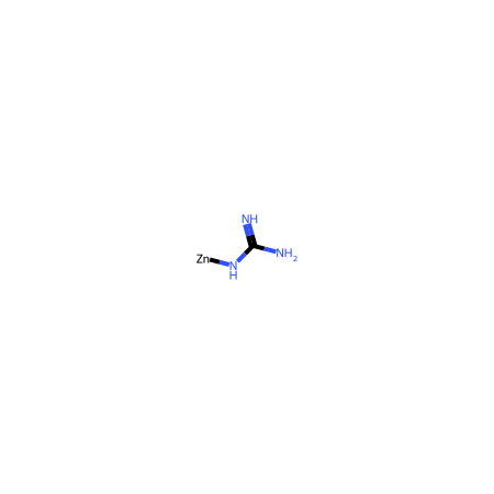 N=C(N)[NH][Zn]